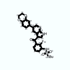 CCCCS(=O)(=O)Nc1cccc(C(=O)c2c[nH]c3ncc(-c4ccc5c(c4)OCCO5)cc23)c1F